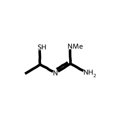 CN/C(N)=N\C(C)S